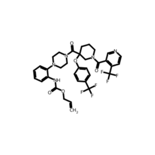 C=CCOC(=O)Nc1ccccc1N1CCN(C(=O)C2(Oc3ccc(C(F)(F)F)cc3)CCCN(C(=O)c3cnccc3C(F)(F)F)C2)CC1